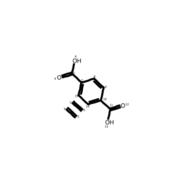 C=C.C=C.O=C(O)c1ccc(C(=O)O)cc1